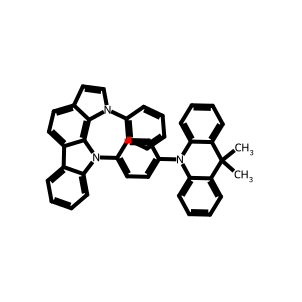 CC1(C)c2ccccc2N(c2ccc(-n3c4ccccc4c4ccc5ccn(-c6ccccc6)c5c43)cc2)c2ccccc21